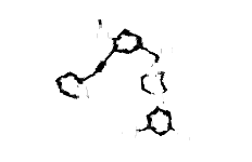 COc1ccc(C(=O)N2CCN(c3cc(Cl)cc(Cl)c3)CC2)cc1C#Cc1ccccn1